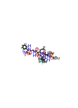 CN(C)C(=O)C(NC(=O)CNC(=O)C(=O)C(CC1CC1)NC(=O)[C@@H]1[C@@H]2[C@H](CN1C(=O)[C@@H](NC(=O)OC(C)(C)C)C(C)(C)C)C2(F)F)c1ccccc1